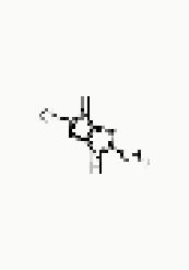 Cc1cc2[nH]c(Cl)cc2[nH]1